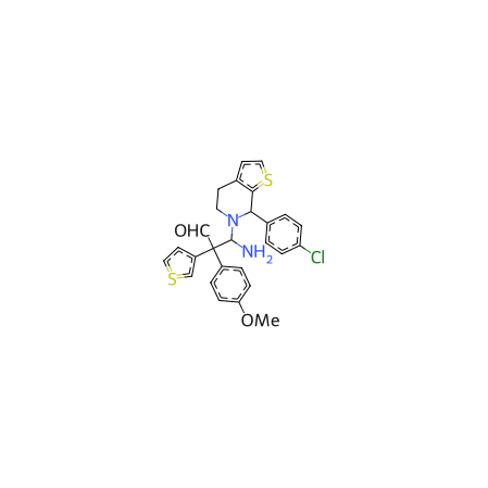 COc1ccc(C(C=O)(c2ccsc2)C(N)N2CCc3ccsc3C2c2ccc(Cl)cc2)cc1